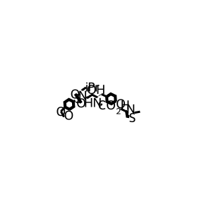 Cc1nc(COc2ccc(C[C@H](NC(=O)O)[C@@H](O)CN(CC(C)C)S(=O)(=O)c3ccc4c(c3)OCO4)cc2)cs1